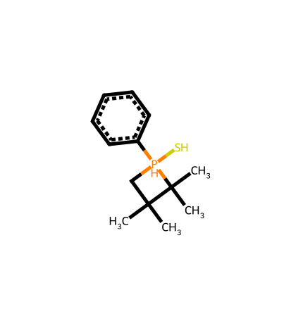 CC1(C)C[PH](S)(c2ccccc2)C1(C)C